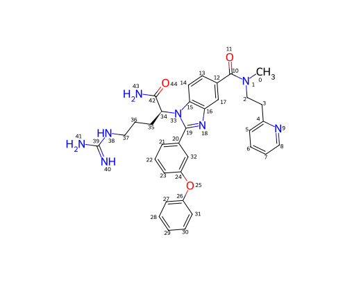 CN(CCc1ccccn1)C(=O)c1ccc2c(c1)nc(-c1cccc(Oc3ccccc3)c1)n2[C@@H](CCCNC(=N)N)C(N)=O